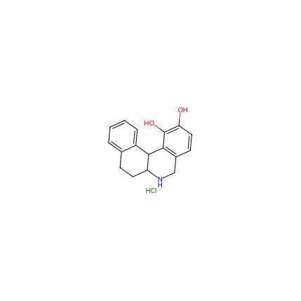 Cl.Oc1ccc2c(c1O)C1c3ccccc3CCC1NC2